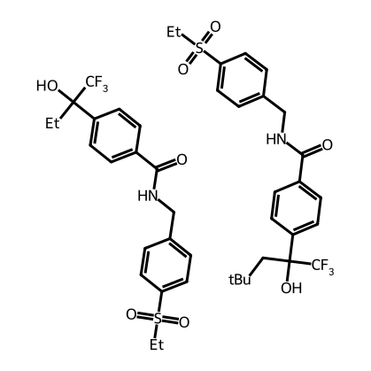 CCC(O)(c1ccc(C(=O)NCc2ccc(S(=O)(=O)CC)cc2)cc1)C(F)(F)F.CCS(=O)(=O)c1ccc(CNC(=O)c2ccc(C(O)(CC(C)(C)C)C(F)(F)F)cc2)cc1